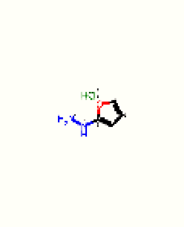 Cl.NNc1ccco1